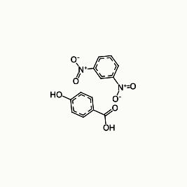 O=C(O)c1ccc(O)cc1.O=[N+]([O-])c1cccc([N+](=O)[O-])c1